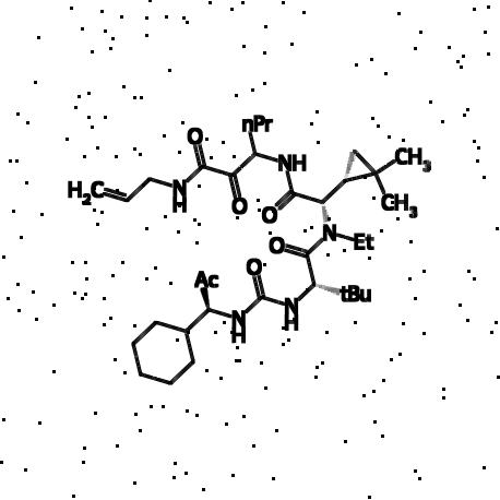 C=CCNC(=O)C(=O)C(CCC)NC(=O)[C@H]([C@@H]1CC1(C)C)N(CC)C(=O)[C@@H](NC(=O)N[C@H](C(C)=O)C1CCCCC1)C(C)(C)C